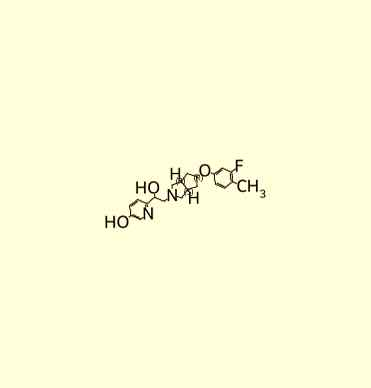 Cc1ccc(O[C@@H]2C[C@@H]3CN(CC(O)c4ccc(O)cn4)C[C@@H]3C2)cc1F